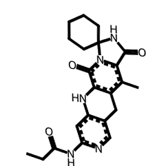 CCC(=O)Nc1cc2c(cn1)Cc1c(C)c3n(c(=O)c1N2)C1(CCCCC1)NC3=O